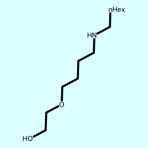 CCCCCCCNCCCCOCCO